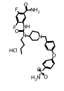 CCCCN(C(=O)Nc1cc(C(N)=O)c(F)cc1F)C1CCN(Cc2ccc(Oc3ccc(S(N)(=O)=O)cc3)cc2)CC1.Cl